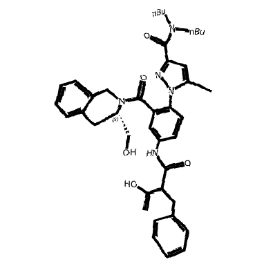 C=C(O)C(Cc1ccccc1)C(=O)Nc1ccc(-n2nc(C(=O)N(CCCC)CCCC)cc2C)c(C(=O)N2Cc3ccccc3C[C@H]2CO)c1